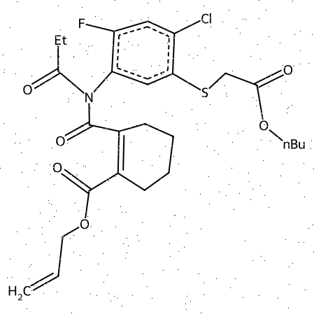 C=CCOC(=O)C1=C(C(=O)N(C(=O)CC)c2cc(SCC(=O)OCCCC)c(Cl)cc2F)CCCC1